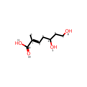 C/C(=C\CC(O)CCO)C(=O)O